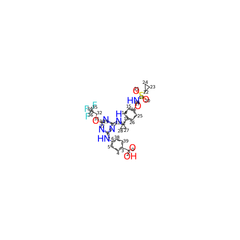 O=C(O)c1ccc(Nc2nc(NC3(c4ccc(ONS(=O)(=O)C5CC5)cc4)CC3)nc(OCC(F)(F)F)n2)cc1